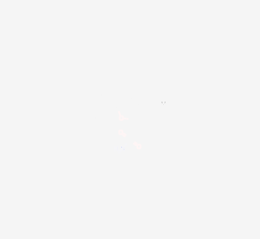 CCc1c(OC)ccc(S(N)(=O)=O)c1Oc1c(C)cccc1C